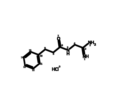 Cl.N=C(N)CNC(=O)CCc1ccccc1